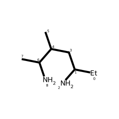 CCC(N)CC(C)C(C)N